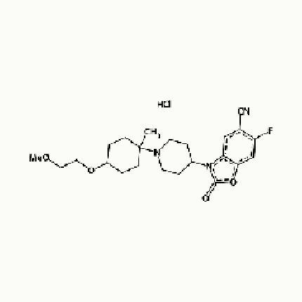 COCCOC1CCC(C)(N2CCC(n3c(=O)oc4cc(F)c(C#N)cc43)CC2)CC1.Cl